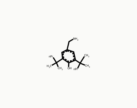 CCCC(C)(C)c1cc(CN)cc(C(C)(C)CCC)c1O